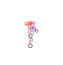 CN1C(=O)C(Cc2cccc(OCc3ccccc3)c2)C(=O)N(OC(CO)CO)C1=O